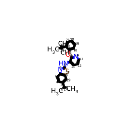 CC(C)c1ccc2nc(Nc3cccnc3Oc3ccccc3C(C)(C)C)sc2c1